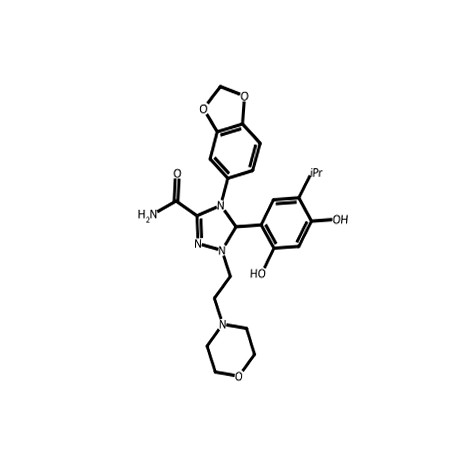 CC(C)c1cc(C2N(CCN3CCOCC3)N=C(C(N)=O)N2c2ccc3c(c2)OCO3)c(O)cc1O